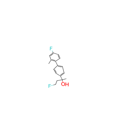 Cc1cc(F)ccc1-c1ccc(C(C)(O)CCF)cc1